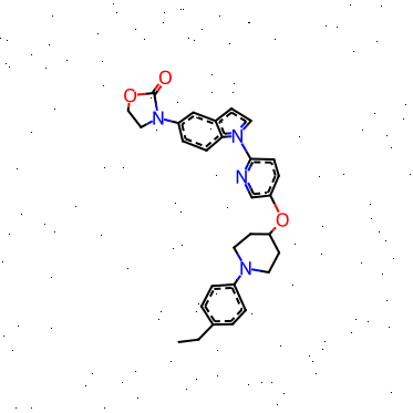 CCc1ccc(N2CCC(Oc3ccc(-n4ccc5cc(N6CCOC6=O)ccc54)nc3)CC2)cc1